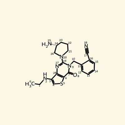 CCNc1csc2c(=O)n(Cc3ccccc3C#N)c(N3CCC[C@@H](N)C3)nc12